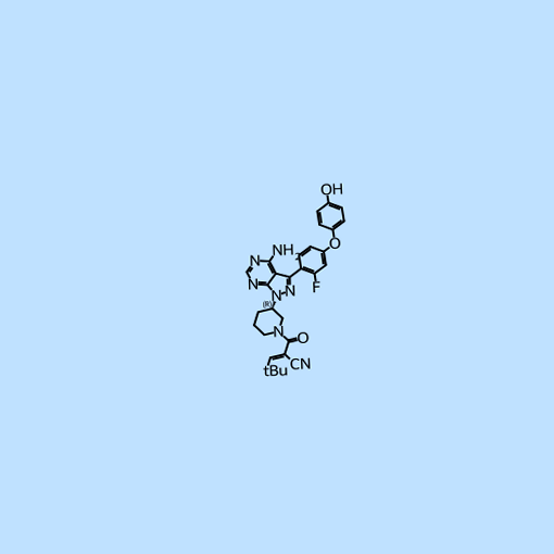 CC(C)(C)C=C(C#N)C(=O)N1CCC[C@@H](n2nc(-c3ccc(Oc4ccc(O)cc4)cc3F)c3c(N)ncnc32)C1